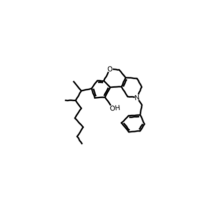 CCCCCC(C)C(C)c1cc(O)c2c(c1)OCC1=C2CN(Cc2ccccc2)CC1